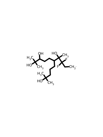 [CH2]CC(F)(F)C(C)(O)C(CCCC(C)(C)O)CCC(O)C(C)(C)O